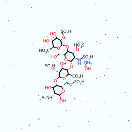 CC(=O)N[C@@H]1[C@@H](O)[C@H](O[C@@H]2O[C@H](C(=O)O)[C@@H](O[C@@H]3O[C@H](CO)[C@@H](O[C@H]4O[C@@H](C(=O)O)[C@H](O)[C@@H](O)[C@@H]4OS(=O)(=O)O)[C@H](OS(=O)(=O)O)[C@H]3NS(=O)(=O)O)[C@H](O)[C@H]2OS(=O)(=O)O)[C@H](COS(=O)(=O)O)O[C@H]1O.NO